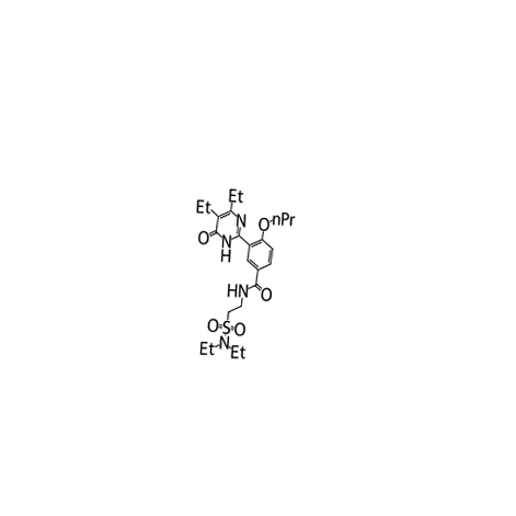 CCCOc1ccc(C(=O)NCCS(=O)(=O)N(CC)CC)cc1-c1nc(CC)c(CC)c(=O)[nH]1